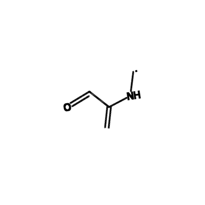 [CH2]NC(=C)C=O